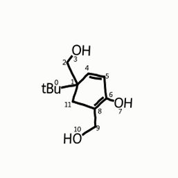 CC(C)(C)C1(CO)C=CC(O)=C(CO)C1